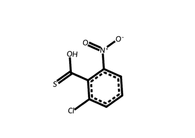 O=[N+]([O-])c1cccc(Cl)c1C(O)=S